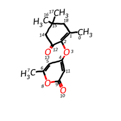 CC1=C(Oc2cc(C)oc(=O)c2)C(=O)CC(C)(C)C1